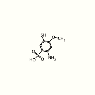 COc1cc(N)c(S(=O)(=O)O)cc1S